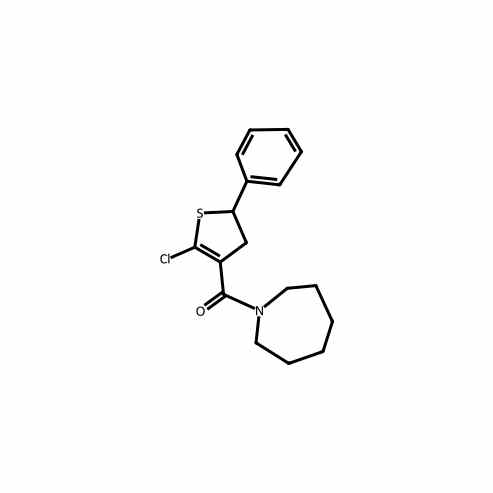 O=C(C1=C(Cl)SC(c2ccccc2)C1)N1CCCCCC1